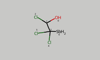 OC(Cl)[C](Cl)(Cl)[SbH2]